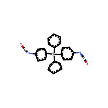 O=C=Nc1ccc([Si](c2ccccc2)(c2ccccc2)c2ccc(N=C=O)cc2)cc1